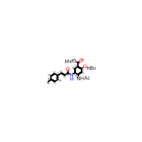 CCCCOc1cc(NC(C)=O)c(NC(=O)C=Cc2ccc(C)cc2)cc1C(=O)OC